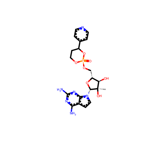 C[C@@]1(O)[C@H](O)[C@@H](CO[P@@]2(=O)OCCC(c3ccncc3)O2)O[C@H]1n1ccc2c(N)nc(N)nc21